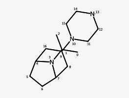 CC(C)N1C2CCC1CC(N1CC[N]CC1)C2